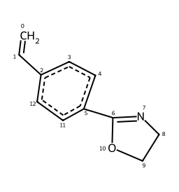 C=Cc1ccc(C2=NCCO2)cc1